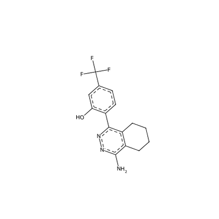 Nc1nnc(-c2ccc(C(F)(F)F)cc2O)c2c1CCCC2